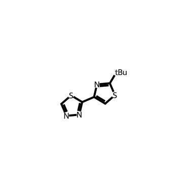 CC(C)(C)c1nc(-c2nncs2)cs1